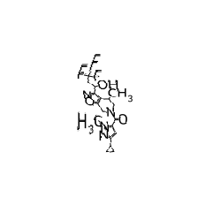 C[C@H]1CN(C(=O)c2cc(C3CC3)nn2C)Cc2onc(C(O)CC(F)(F)F)c21